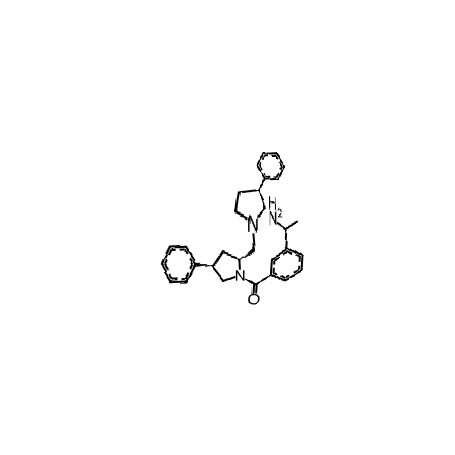 CC(N)c1cccc(C(=O)N2C[C@@H](c3ccccc3)C[C@H]2CN2CCC(c3ccccc3)C2)c1